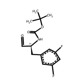 CC(C)(C)OC(=O)N[C@H]([C]=O)Cc1cc(F)cc(F)c1